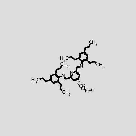 CCCc1cc(CCC)c(N=Cc2cccc(C=Nc3c(CCC)cc(CCC)cc3CCC)n2)c(CCC)c1.[Cl-].[Cl-].[Cl-].[Fe+3]